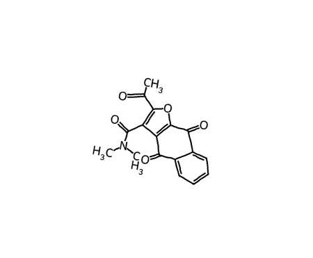 CC(=O)c1oc2c(c1C(=O)N(C)C)C(=O)c1ccccc1C2=O